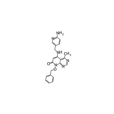 Cc1ncnc2c1c(NCc1ccc(N)nc1)cc(=O)n2OCc1ccccc1